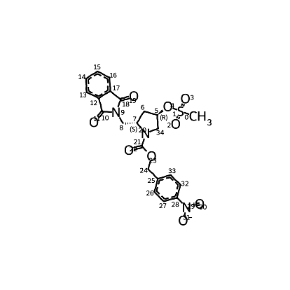 CS(=O)(=O)O[C@@H]1C[C@@H](CN2C(=O)c3ccccc3C2=O)N(C(=O)OCc2ccc([N+](=O)[O-])cc2)C1